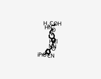 CC(C)Oc1ccc(-c2nc(-c3ccc4c(c3)CCN(CC(=O)N[C@H](C)CO)CC4)no2)cc1C#N.Cl